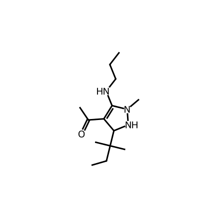 CCCNC1=C(C(C)=O)C(C(C)(C)CC)NN1C